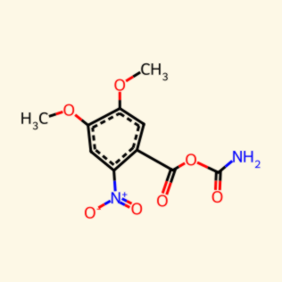 COc1cc(C(=O)OC(N)=O)c([N+](=O)[O-])cc1OC